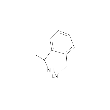 CC(N)c1ccccc1CN